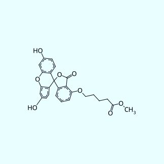 COC(=O)CCCCOc1cccc2c1C(=O)OC21c2ccc(O)cc2Oc2cc(O)ccc21